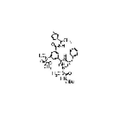 CC[C@H](C)NC(=O)[C@H](C)NC[C@H](Cc1ccccc1)NC(=O)c1cc(C(=O)NC(C)c2ccsc2)cc(N(C)S(C)(=O)=O)c1